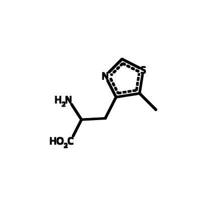 Cc1scnc1CC(N)C(=O)O